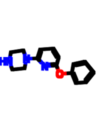 c1ccc(Oc2cccc(N3CCNCC3)n2)cc1